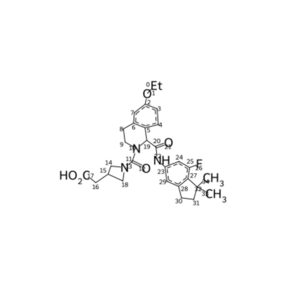 CCOc1ccc2c(c1)CCN(C(=O)N1CC(CC(=O)O)C1)C2C(=O)Nc1cc(F)c2c(c1)CCC2(C)C